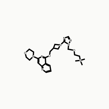 CS(C)(C)CCOCn1ncnc1N1CC(COc2nc(N3CCOCC3)cc3ncccc23)C1